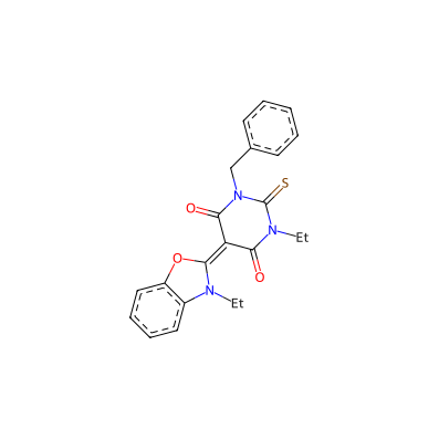 CCN1C(=O)/C(=C2/Oc3ccccc3N2CC)C(=O)N(Cc2ccccc2)C1=S